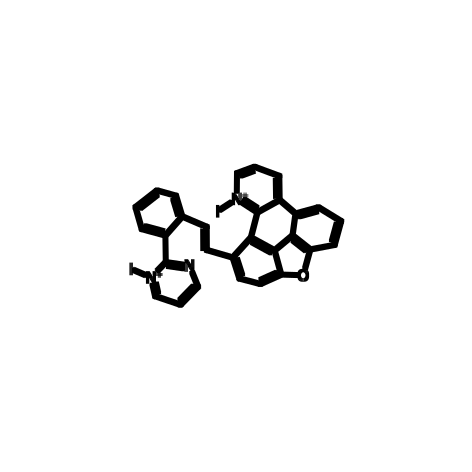 I[n+]1cccnc1-c1ccccc1/C=C/c1ccc2oc3cccc4c5ccc[n+](I)c5c1c2c34